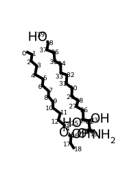 CCCCCCCCCCCCCCOC(O)CC.NC(=O)C(O)C(O)CCCCCCCCCCCCCO